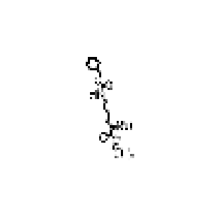 CCOC(=O)C(=N)CCCCNC(=O)OCc1ccccc1